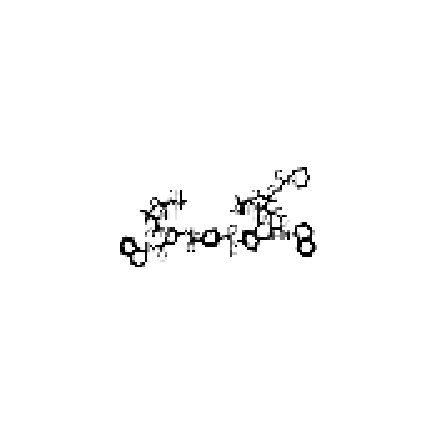 CNC(C)C(=O)N[C@H](C(=O)N1Cc2cc(NC(=O)c3ccc(C(=O)NC4CC(C(=O)N[C@@H]5CCCc6ccccc65)N(C(=O)C(NC(=O)[C@H](C)NC)C(C)(C)C)C4)cc3)ccc2CC1C(=O)N[C@@H]1CCCc2ccccc21)C(C)(C)SCC(=O)N1CCCCC1